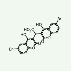 O=C(O)C(c1c(O)c2cc(Br)ccc2oc1=O)c1c(O)c2cc(Br)ccc2oc1=O